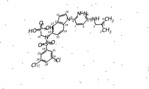 C=C(C)CNc1ccc(-n2ccc3cc(N(CP(=O)(O)O)S(=O)(=O)c4cc(Cl)cc(Cl)c4)ccc32)nn1